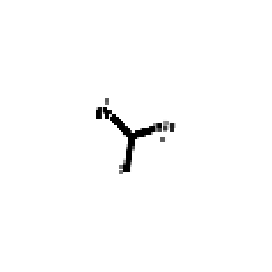 [CH2]C(CCC)C(C)C